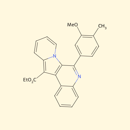 CCOC(=O)c1c2c3ccccc3nc(-c3ccc(C)c(OC)c3)c2n2ccccc12